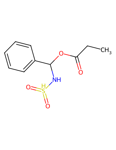 CCC(=O)OC(N[SH](=O)=O)c1ccccc1